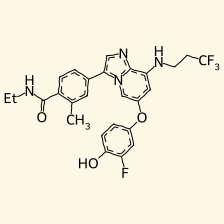 CCNC(=O)c1ccc(-c2cnc3c(NCCC(F)(F)F)cc(Oc4ccc(O)c(F)c4)cn23)cc1C